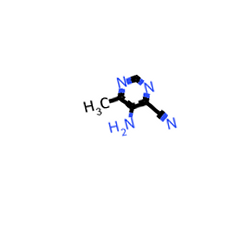 Cc1ncnc(C#N)c1N